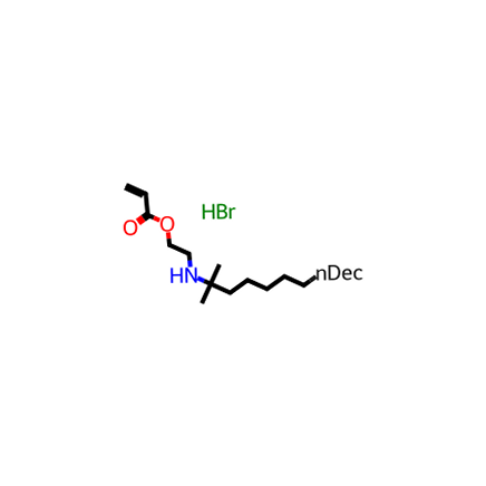 Br.C=CC(=O)OCCNC(C)(C)CCCCCCCCCCCCCCC